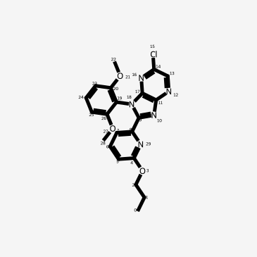 CCCOc1cccc(-c2nc3ncc(Cl)nc3n2-c2c(OC)cccc2OC)n1